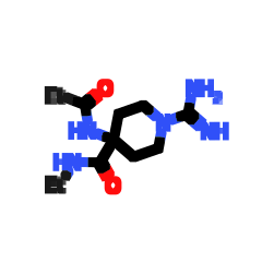 CCNC(=O)C1(NC(=O)CC)CCN(C(=N)N)CC1